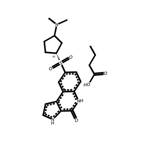 CCCC(=O)O.CN(C)C1CC[C@@H](S(=O)(=O)c2ccc3[nH]c(=O)c4[nH]ccc4c3c2)C1